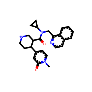 Cn1ccc(C2CCNCC2C(=O)N(Cc2nccc3ccccc23)C2CC2)cc1=O